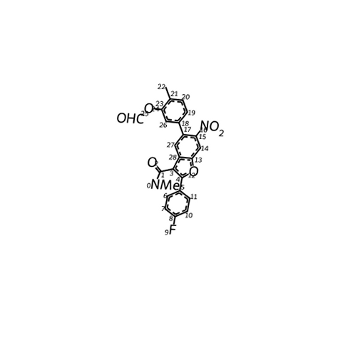 CNC(=O)c1c(-c2ccc(F)cc2)oc2cc([N+](=O)[O-])c(-c3ccc(C)c(OC=O)c3)cc12